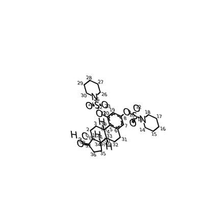 C[C@]12CC[C@@H]3c4c(cc(OS(=O)(=O)N5CCCCC5)cc4OS(=O)(=O)N4CCCCC4)CC[C@@H]3[C@@H]1CCC2=O